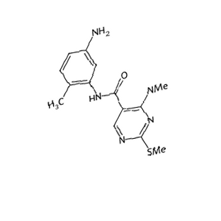 CNc1nc(SC)ncc1C(=O)Nc1cc(N)ccc1C